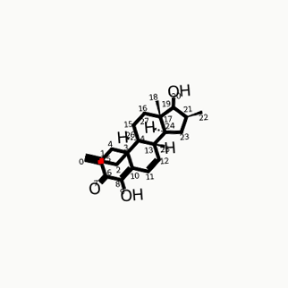 C#CCC12CCC(=O)C(O)=C1C=C[C@@H]1[C@@H]2CC[C@]2(C)C(O)[C@@H](C)C[C@@H]12